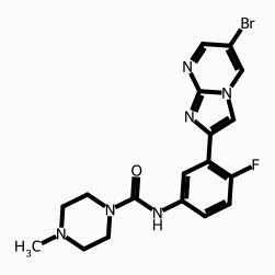 CN1CCN(C(=O)Nc2ccc(F)c(-c3cn4cc(Br)cnc4n3)c2)CC1